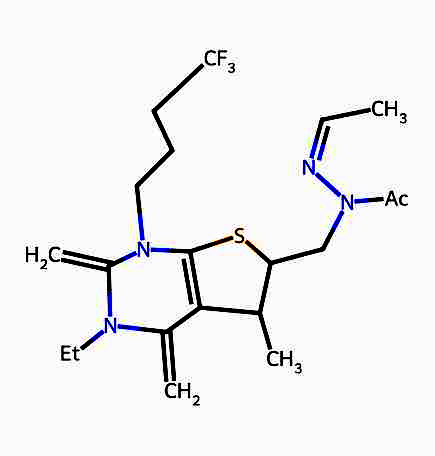 C=C1C2=C(SC(CN(/N=C\C)C(C)=O)C2C)N(CCCC(F)(F)F)C(=C)N1CC